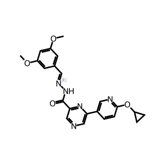 COc1cc(/C=N/NC(=O)c2cncc(-c3ccc(OC4CC4)nc3)n2)cc(OC)c1